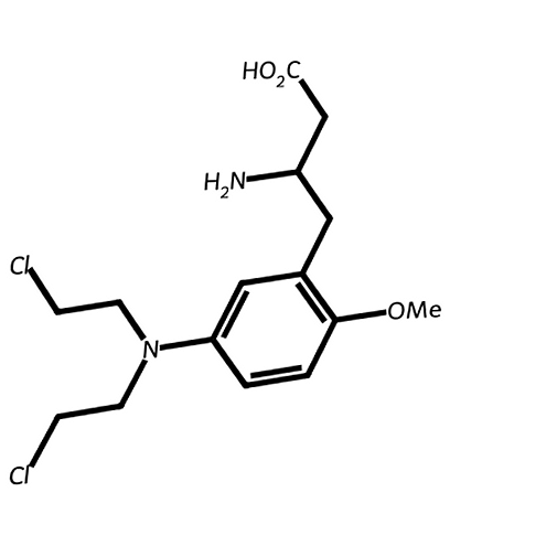 COc1ccc(N(CCCl)CCCl)cc1CC(N)CC(=O)O